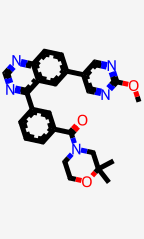 COc1ncc(-c2ccc3ncnc(-c4cccc(C(=O)N5CCOC(C)(C)C5)c4)c3c2)cn1